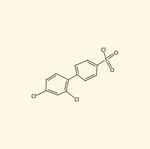 O=S(=O)(Cl)c1ccc(-c2ccc(Cl)cc2Cl)cc1